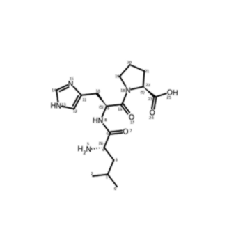 CC(C)C[C@H](N)C(=O)N[C@@H](Cc1c[nH]cn1)C(=O)N1CCC[C@H]1C(=O)O